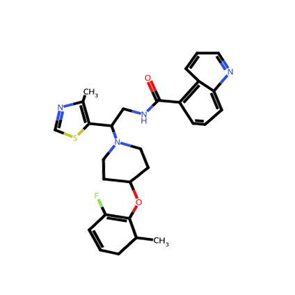 Cc1ncsc1C(CNC(=O)c1cccc2ncccc12)N1CCC(OC2=C(F)C=CCC2C)CC1